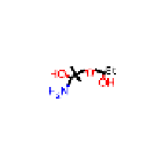 CCC(O)COCC(C)(C)C(O)CN